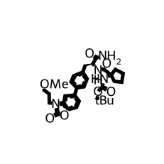 COCCCn1c(=O)oc2ccc(-c3ccc(C[C@H](NC(=O)C4(NC(=O)OC(C)(C)C)CCCC4)C(N)=O)cc3)cc21